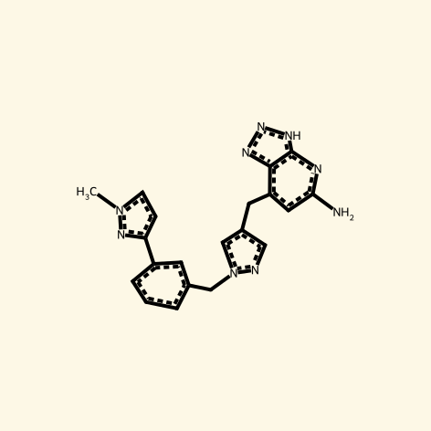 Cn1ccc(-c2cccc(Cn3cc(Cc4cc(N)nc5[nH]nnc45)cn3)c2)n1